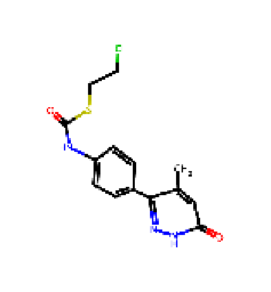 Cc1cc(=O)[nH]nc1-c1ccc(NC(=O)SCCCl)cc1